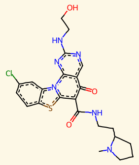 CN1CCCC1CCNC(=O)c1c(=O)c2cnc(NCCO)nc2n2c1sc1ccc(Cl)cc12